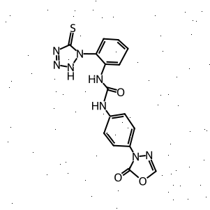 O=C(Nc1ccc(-n2ncoc2=O)cc1)Nc1ccccc1-n1[nH]nnc1=S